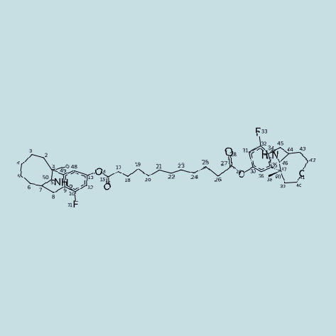 CC12CCCCCC(Cc3c(F)cc(OC(=O)CCCCCCCCCCC(=O)Oc4cc(F)c5c(c4)[C@@]4(C)CCCCCC(C5)C4N)cc31)C2N